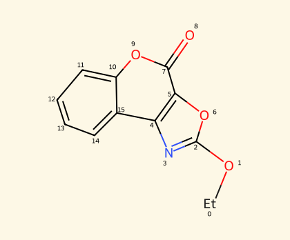 CCOc1nc2c(o1)c(=O)oc1ccccc12